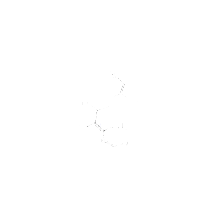 C/C=N\C(C)=C(/C)C(C)CC/C(C)=C\CC